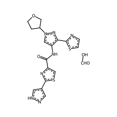 O=C(Nc1cn(C2CCOC2)nc1-c1nccs1)c1csc(-c2cn[nH]c2)n1.O=CO